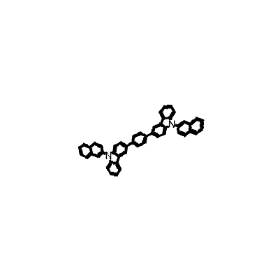 c1ccc2cc(-n3c4ccccc4c4cc(-c5ccc(-c6ccc7c(c6)c6ccccc6n7-c6ccc7ccccc7c6)cc5)ccc43)ccc2c1